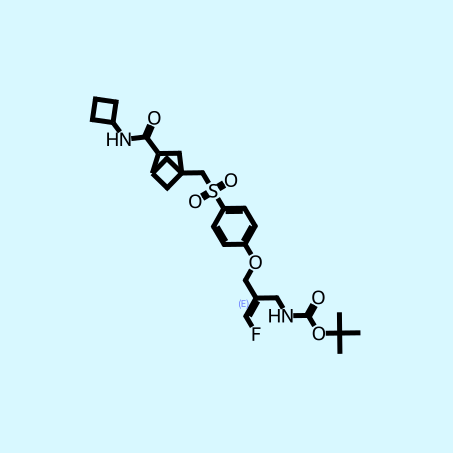 CC(C)(C)OC(=O)NC/C(=C\F)COc1ccc(S(=O)(=O)CC23CC(C2)C(C(=O)NC2CCC2)C3)cc1